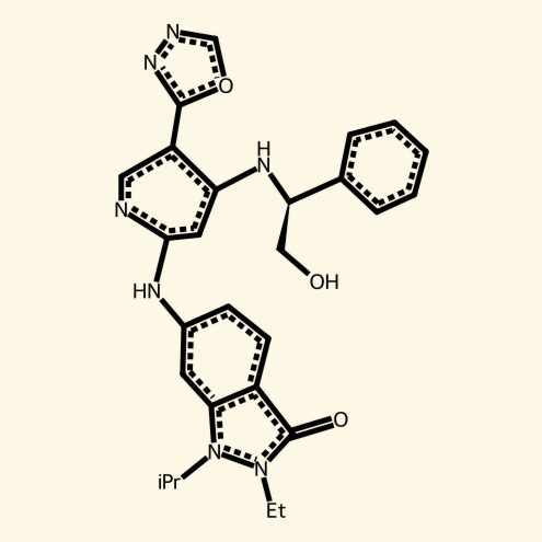 CCn1c(=O)c2ccc(Nc3cc(N[C@H](CO)c4ccccc4)c(-c4nnco4)cn3)cc2n1C(C)C